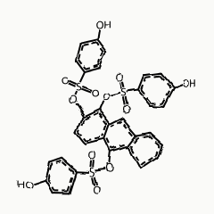 O=S(=O)(Oc1ccc2c(OS(=O)(=O)c3ccc(O)cc3)c3ccccc3cc2c1OS(=O)(=O)c1ccc(O)cc1)c1ccc(O)cc1